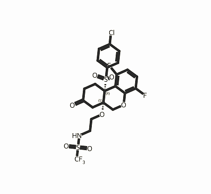 O=C1CC[C@@]2(S(=O)(=O)c3ccc(Cl)cc3)c3c(F)ccc(F)c3OC[C@@]2(OCCNS(=O)(=O)C(F)(F)F)C1